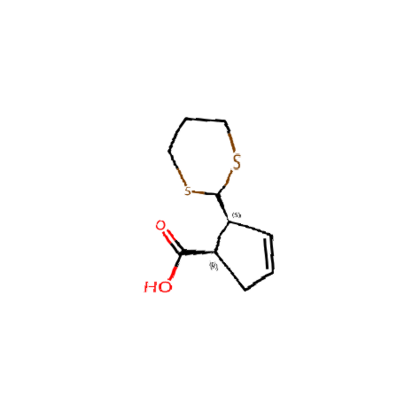 O=C(O)[C@@H]1CC=C[C@@H]1C1SCCCS1